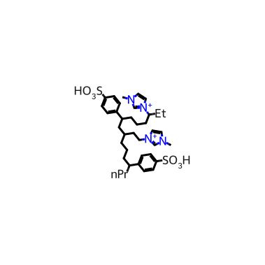 CCCC(CCCC(CC[n+]1ccn(C)c1)CC(CCCC(CC)[n+]1ccn(C)c1)c1ccc(S(=O)(=O)O)cc1)c1ccc(S(=O)(=O)O)cc1